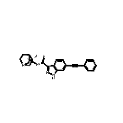 O=C(N[C@H]1CN2CCC1CC2)c1n[nH]c2cc(C#Cc3ccccc3)ccc12